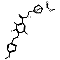 COc1ccc(COc2c(F)cc(C(=O)NC[C@]34CC[C@](C(=O)OC)(CC3)CC4)c(F)c2F)cc1